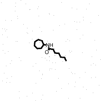 CCCCCCC(=O)NC1CCCCCC1